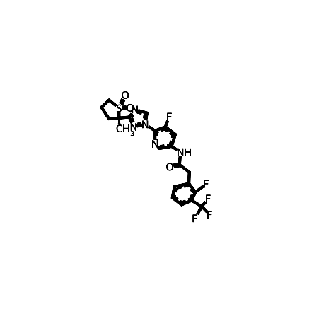 C[C@@]1(c2ncn(-c3ncc(NC(=O)Cc4cccc(C(F)(F)F)c4F)cc3F)n2)CCCS1(=O)=O